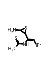 CC(=S)N/C(=C\C(C)C)C1SC1N